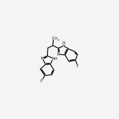 CC(Cc1nc2cc(F)ccc2[nH]1)c1nc2cc(F)ccc2[nH]1